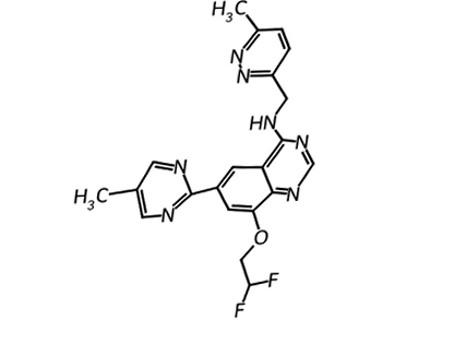 Cc1cnc(-c2cc(OCC(F)F)c3ncnc(NCc4ccc(C)nn4)c3c2)nc1